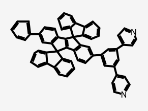 c1ccc(-c2ccc3c(c2)C2(C4=C3C3(c5cc(-c6cc(-c7ccncc7)cc(-c7ccncc7)c6)ccc54)c4ccccc4-c4ccccc43)c3ccccc3-c3ccccc32)cc1